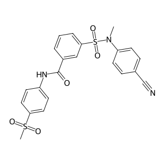 CN(c1ccc(C#N)cc1)S(=O)(=O)c1cccc(C(=O)Nc2ccc(S(C)(=O)=O)cc2)c1